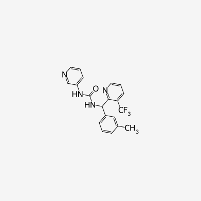 Cc1cccc(C(NC(=O)Nc2cccnc2)c2ncccc2C(F)(F)F)c1